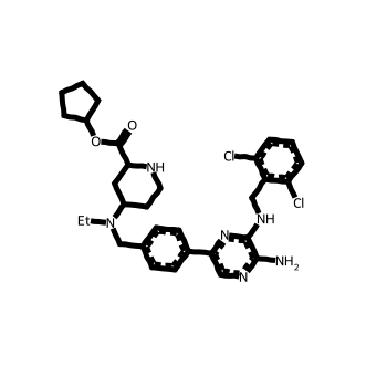 CCN(Cc1ccc(-c2cnc(N)c(NCc3c(Cl)cccc3Cl)n2)cc1)C1CCNC(C(=O)OC2CCCC2)C1